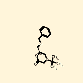 CC(C)(C)N1CC(=O)O[C@@H](COCc2ccccc2)C1